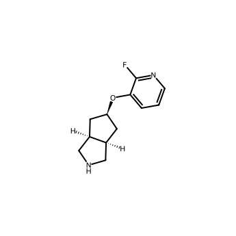 Fc1ncccc1O[C@H]1C[C@H]2CNC[C@H]2C1